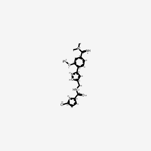 CC(C)Oc1cc(C(=N)N(C)C)ccc1-c1cc(CNC(=O)c2ccc(Cl)s2)on1